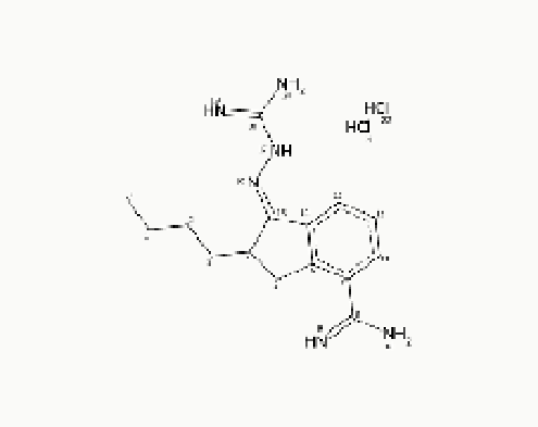 CCCCC1Cc2c(C(=N)N)cccc2C1=NNC(=N)N.Cl.Cl